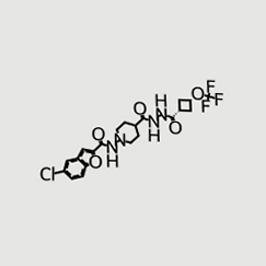 O=C(NN1CCC(C(=O)NNC(=O)[C@H]2C[C@@H](OC(F)(F)F)C2)CC1)c1cc2cc(Cl)ccc2o1